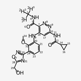 [2H]C([2H])([2H])NC(=O)c1nnc(NC(=O)C2CC2)cc1Nc1cccc(-c2noc(CO)n2)c1OC